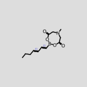 CCC/C=C/C=C/B1OC(=O)CN(C)CC(=O)O1